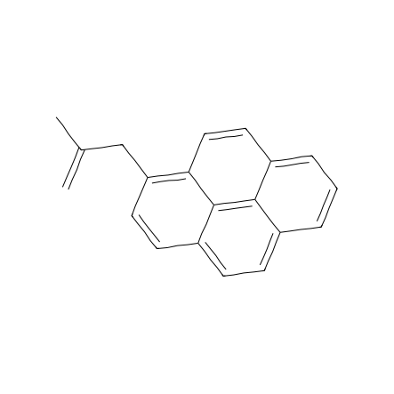 C=C(C)Cc1ccc2ccc3cccc4ccc1c2c34